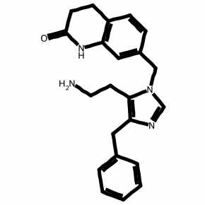 NCCc1c(Cc2ccccc2)ncn1Cc1ccc2c(c1)NC(=O)CC2